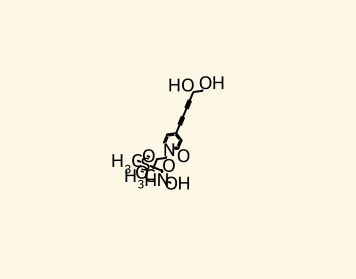 CC(CCn1ccc(C#CC#CC(O)CO)cc1=O)(C(=O)NO)S(C)(=O)=O